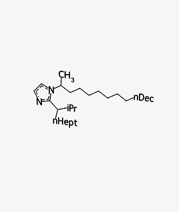 CCCCCCCCCCCCCCCCCC(C)n1ccnc1C(CCCCCCC)C(C)C